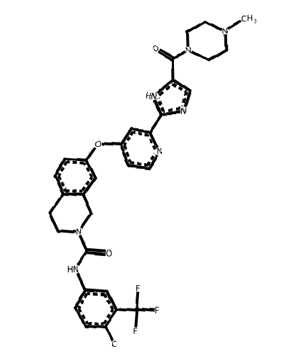 CN1CCN(C(=O)c2cnc(-c3cc(Oc4ccc5c(c4)CN(C(=O)Nc4ccc(Cl)c(C(F)(F)F)c4)CC5)ccn3)[nH]2)CC1